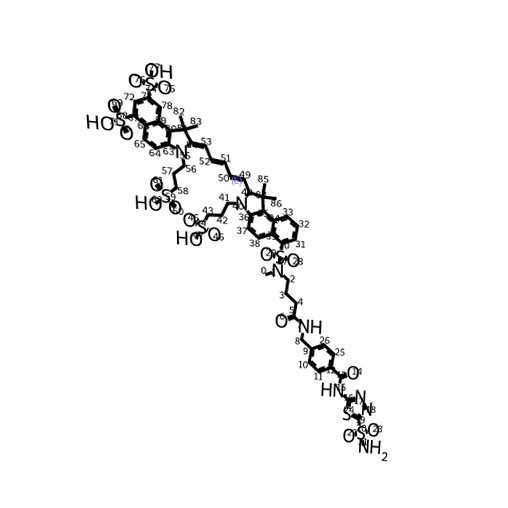 CN(CCCC(=O)NCc1ccc(C(=O)Nc2nnc(S(N)(=O)=O)s2)cc1)S(=O)(=O)c1cccc2c3c(ccc12)N(CCCS(=O)(=O)O)C(/C=C/C=CC=C1N(CCCS(=O)(=O)O)c2ccc4c(S(=O)(=O)O)cc(S(=O)(=O)O)cc4c2C1(C)C)C3(C)C